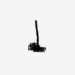 CCCCCCCCCC=CC=CC=CC=CC=CC=CC(=O)OC[C@@]1(O[C@H]2O[C@H](CO)[C@@H](O)[C@H](O)[C@H]2O)O[C@H](CO)[C@@H](O)[C@@H]1O